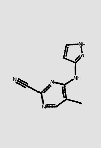 Cc1cnc(C#N)nc1Nc1cc[nH]n1